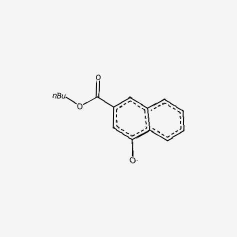 CCCCOC(=O)c1cc([O])c2ccccc2c1